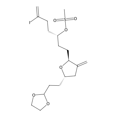 C=C(I)CC[C@@H](CC[C@@H]1O[C@@H](CCC2OCCO2)CC1=C)OS(C)(=O)=O